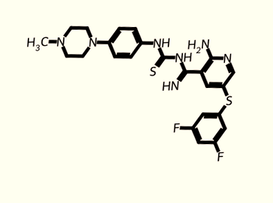 CN1CCN(c2ccc(NC(=S)NC(=N)c3cc(Sc4cc(F)cc(F)c4)cnc3N)cc2)CC1